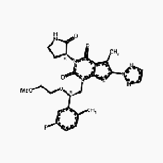 COCCO[C@@H](Cn1c(=O)n([C@H]2CCNC2=O)c(=O)c2c(C)c(-n3nccn3)sc21)c1cc(F)ccc1C